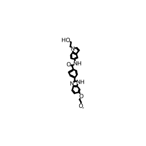 COCCOc1ccc2nc(-c3ccc(C(=O)Nc4ccc5c(ccn5CCO)c4)cc3)[nH]c2c1